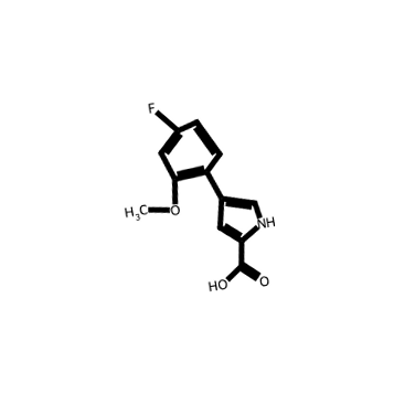 COc1cc(F)ccc1-c1c[nH]c(C(=O)O)c1